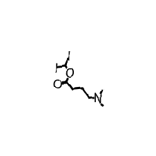 CN(C)CCCC(=O)OC(I)I